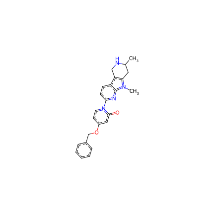 CC1Cc2c(c3ccc(-n4ccc(OCc5ccccc5)cc4=O)nc3n2C)CN1